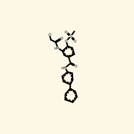 CS(=O)(=O)Oc1ccc(C(=O)Nc2ccc(-c3ccccc3)cc2)cc1NC(=O)CCl